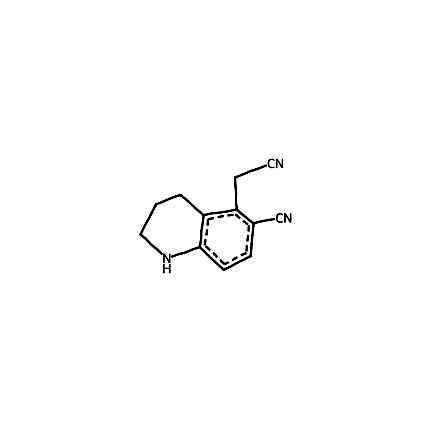 N#CCc1c(C#N)ccc2c1CCCN2